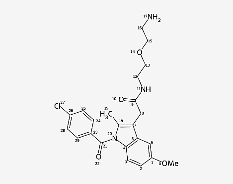 COc1ccc2c(c1)c(CC(=O)NCCOCCN)c(C)n2C(=O)c1ccc(Cl)cc1